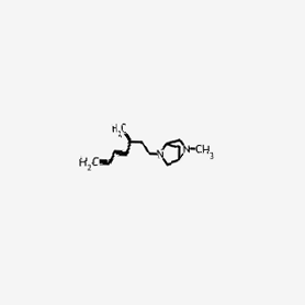 C=CC=CC(=C)CCN1CC2CC1CN2C